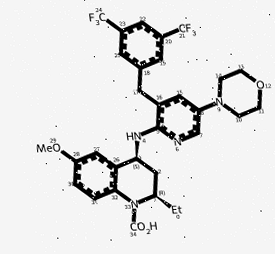 CC[C@@H]1C[C@H](Nc2ncc(N3CCOCC3)cc2Cc2cc(C(F)(F)F)cc(C(F)(F)F)c2)c2cc(OC)ccc2N1C(=O)O